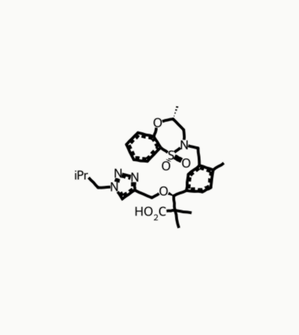 Cc1ccc([C@H](OCc2cn(CC(C)C)nn2)C(C)(C)C(=O)O)cc1CN1C[C@@H](C)Oc2ccccc2S1(=O)=O